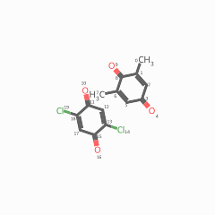 CC1=CC(=O)C=C(C)C1=O.O=C1C=C(Cl)C(=O)C=C1Cl